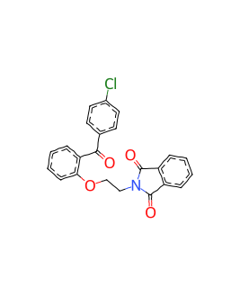 O=C(c1ccc(Cl)cc1)c1ccccc1OCCN1C(=O)c2ccccc2C1=O